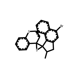 CC1Cc2cc(Br)c3ccccc3c2C12SC21c2ccccc2Sc2ccccc21